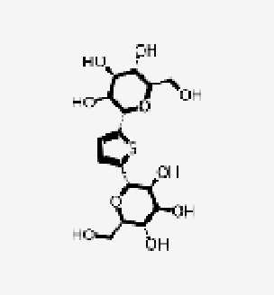 OC[C@H]1O[C@H](c2ccc([C@H]3O[C@H](CO)[C@@H](O)[C@H](O)[C@@H]3O)s2)[C@@H](O)[C@@H](O)[C@@H]1O